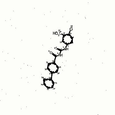 O=C(NC(=S)Nc1ccc(Cl)c(C(=O)O)c1)c1ccc(-c2ccccc2)cc1